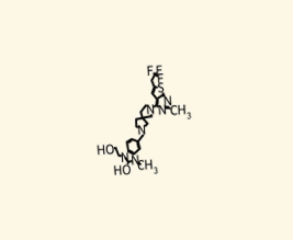 Cc1nc(N2CCC3(CCN(Cc4ccc5c(c4)N(C)C(O)N5CCO)C3)C2)c2cc(CC(F)(F)F)sc2n1